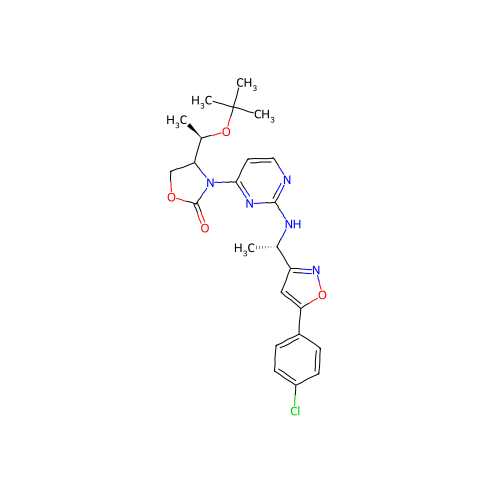 C[C@H](Nc1nccc(N2C(=O)OCC2[C@@H](C)OC(C)(C)C)n1)c1cc(-c2ccc(Cl)cc2)on1